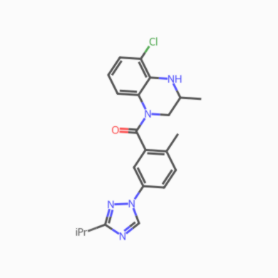 Cc1ccc(-n2cnc(C(C)C)n2)cc1C(=O)N1CC(C)Nc2c(Cl)cccc21